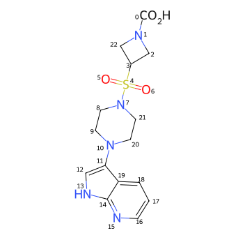 O=C(O)N1CC(S(=O)(=O)N2CCN(c3c[nH]c4ncccc34)CC2)C1